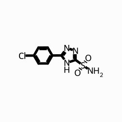 NS(=O)(=O)c1nnc(-c2ccc(Cl)cc2)[nH]1